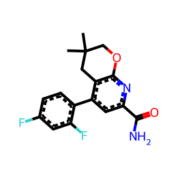 CC1(C)COc2nc(C(N)=O)cc(-c3ccc(F)cc3F)c2C1